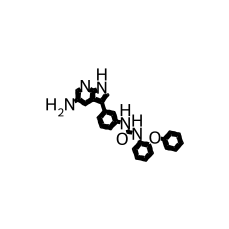 Nc1cnc2[nH]cc(-c3cccc(NC(=O)Nc4ccccc4Oc4ccccc4)c3)c2c1